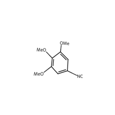 [C-]#[N+]c1cc(OC)c(OC)c(OC)c1